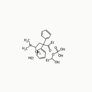 CCC(=O)C(CC(C)N(C)C)(c1ccccc1)c1ccccc1.CCC(O)OP(=O)(O)O.Cl